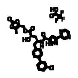 Cc1oc(=O)oc1COC(=O)[C@@H](O)C[C@H](Cc1ccc(-c2cccc(Cl)c2)cc1)NC(=O)c1cc(-c2cnccn2)n[nH]1.O=C(O)C(F)(F)F